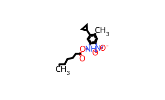 CCCCCCC(=O)ONc1cc(C2CC2)c(C)cc1[N+](=O)[O-]